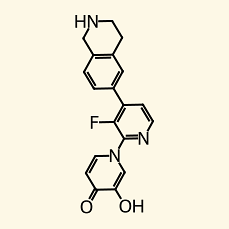 O=c1ccn(-c2nccc(-c3ccc4c(c3)CCNC4)c2F)cc1O